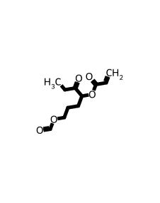 C=CC(=O)OC(CCCOC=O)C(=O)CC